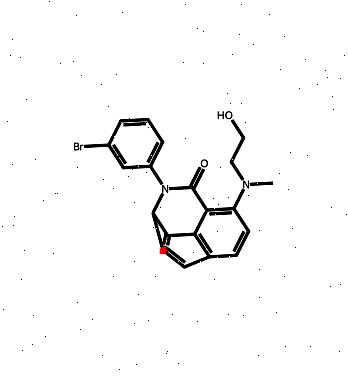 CN(CCO)c1ccc2c3c1C(=O)N(c1cccc(Br)c1)C(C=C2)C3=O